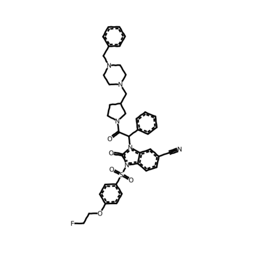 N#Cc1ccc2c(c1)n(C(C(=O)N1CCC(CN3CCN(Cc4ccccc4)CC3)C1)c1ccccc1)c(=O)n2S(=O)(=O)c1ccc(OCCF)cc1